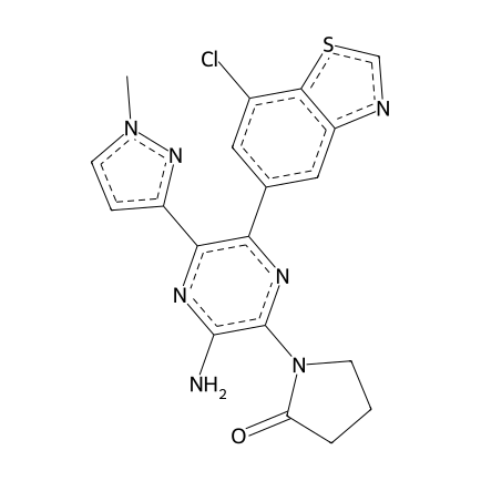 Cn1ccc(-c2nc(N)c(N3CCCC3=O)nc2-c2cc(Cl)c3scnc3c2)n1